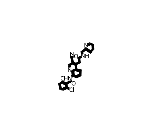 N#Cc1cnc2c(NC(=O)c3c(Cl)cccc3Cl)cccc2c1CC(=O)NCc1ccccn1